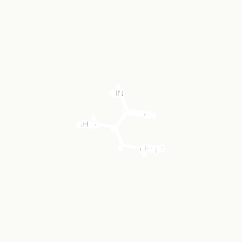 CCCCCCCCC(CCCCCC)C([NH])=O